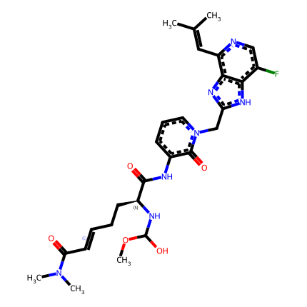 COC(O)N[C@@H](CC/C=C/C(=O)N(C)C)C(=O)Nc1cccn(Cc2nc3c(C=C(C)C)ncc(F)c3[nH]2)c1=O